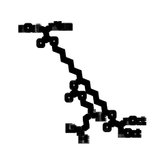 CCCCCCCCCC(CCCCCCCC)C(=O)OCCCCCCC(CCCCCCOC(=O)C(CCCCCCCC)CCCCCCCC)OC(=O)OCCN(CC)CCN(CC)CC